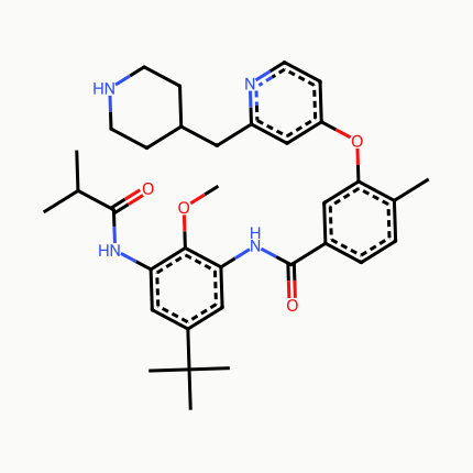 COc1c(NC(=O)c2ccc(C)c(Oc3ccnc(CC4CCNCC4)c3)c2)cc(C(C)(C)C)cc1NC(=O)C(C)C